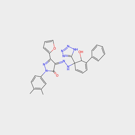 Cc1ccc(N2N=C(c3ccco3)C(=NNC3(c4nnn[nH]4)C=CC=C(c4ccccc4)C3O)C2=O)cc1C